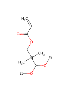 C=CC(=O)OC[Si](C)(C)C(OCC)OCC